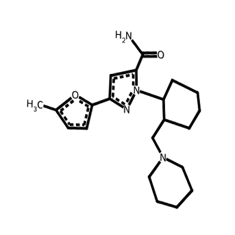 Cc1ccc(-c2cc(C(N)=O)n(C3CCCCC3CN3CCCCC3)n2)o1